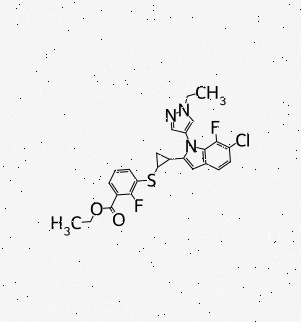 CCOC(=O)c1cccc(SC2CC2c2cc3ccc(Cl)c(F)c3n2-c2cnn(CC)c2)c1F